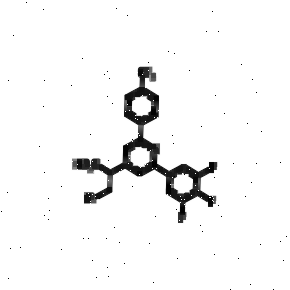 CC(C)CC(C(=O)O)c1cc(-c2ccc(C(F)(F)F)cc2)nc(-c2cc(F)c(F)c(F)c2)c1